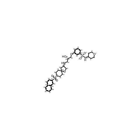 O=S(=O)(NC1CCOCC1)c1cccc(OC[C@@H](O)CNC2COC3(CCN(S(=O)(=O)c4ccc5ccccc5c4)CC3)C2)c1